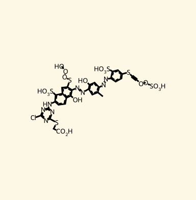 Cc1cc(N=Nc2c(SOOO)cc3c(S(=O)(=O)O)c(Nc4nc(Cl)nc(SCC(=O)O)n4)ccc3c2O)c(O)cc1N=Nc1ccc(SC#COOS(=O)(=O)O)cc1S(=O)(=O)O